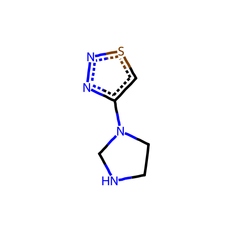 c1snnc1N1CCNC1